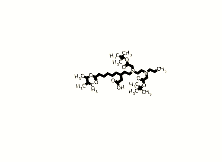 CCCN(CCN(CCC(CCCCCC(=O)OC(C)C(C)C)CC(=O)O)CC(=O)OC(C)(C)C)CC(=O)OC(C)(C)C